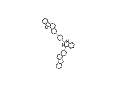 c1ccc2c(c1)Cc1c-2ccc2cc(-c3nc(-c4ccc(-c5ccc6c(ccc7c8ccccc8oc67)c5)cc4)nc4ccccc34)ccc12